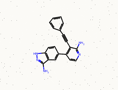 Nc1nccc(-c2ccc3[nH]nc(N)c3c2)c1C#Cc1ccccc1